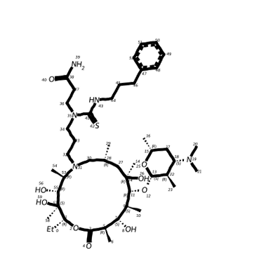 CC[C@H]1OC(=O)[C@H](C)[C@@H](O)[C@H](C)[C@@H](O[C@@H]2O[C@H](C)C[C@H](N(C)C)[C@H]2C)[C@](C)(O)C[C@@H](C)CN(CCCN(CCC(N)=O)C(=S)NCCCc2ccccc2)[C@H](C)[C@@H](O)[C@]1(C)O